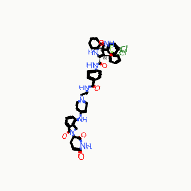 O=C1CCC(N2Cc3c(NC4CCN(CCNC(=O)c5ccc(NC(=O)[C@@H]6NC7(CCCCC7)[C@@]7(C(=O)Nc8cc(Cl)ccc87)[C@H]6c6cccc(Cl)c6F)cc5)CC4)cccc3C2=O)C(=O)N1